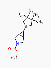 CC(C)(C)OC(=O)N1CC2C(C1)C2B1CC(C)(C)C(C)(C)C1